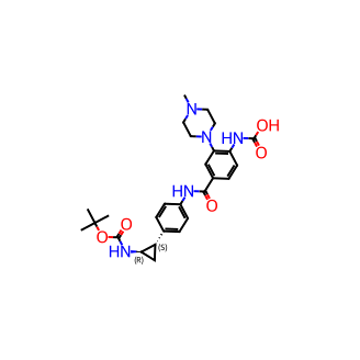 CN1CCN(c2cc(C(=O)Nc3ccc([C@@H]4C[C@H]4NC(=O)OC(C)(C)C)cc3)ccc2NC(=O)O)CC1